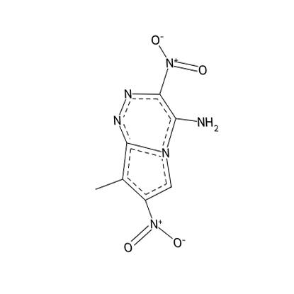 Cc1c([N+](=O)[O-])cn2c(N)c([N+](=O)[O-])nnc12